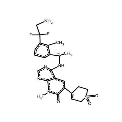 Cc1c([C@@H](C)Nc2ncnc3c2cc(C2=CCS(=O)(=O)CC2)c(=O)n3C)cccc1C(F)(F)CN